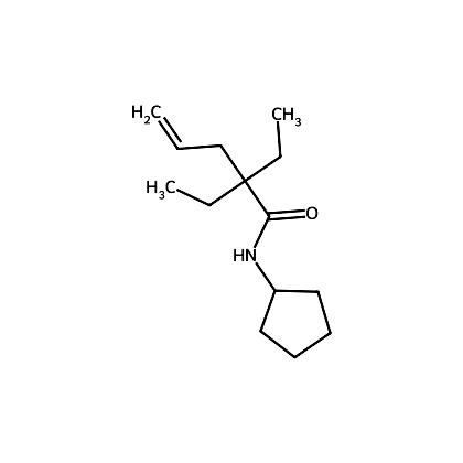 C=CCC(CC)(CC)C(=O)NC1CCCC1